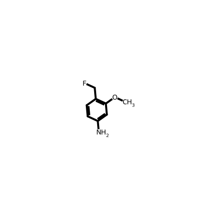 COc1cc(N)ccc1CF